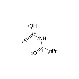 CCCC(=O)NC(O)=S